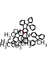 CC(C)(C)c1cc(C(C)(C)C)c2c(c1)C(C)(C)c1cccc(-c3ccccc3N(c3ccc4c(c3)C(C)(c3ccccc3)c3ccccc3-4)c3ccc4c(c3)C(c3ccccc3)(c3ccccc3)c3ccccc3-4)c1-2